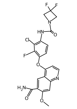 COc1cc2nccc(Oc3ccc(NC(=O)N4CC(F)(F)C4)c(Cl)c3F)c2cc1C(N)=O